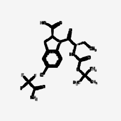 CC[C@H](NC(=O)OC(C)(C)C)C(=O)N1c2ccc(Cl)cc2C[C@H]1C(=O)O.NC(=O)C(F)(F)F